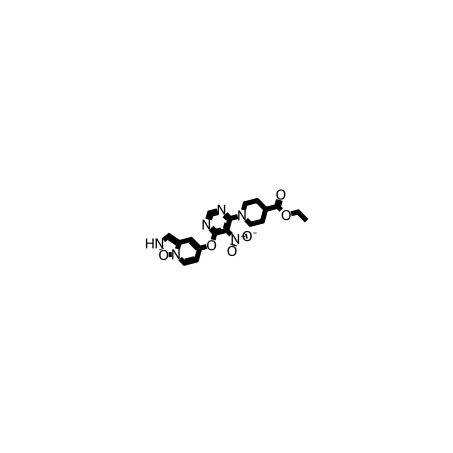 CCOC(=O)C1CCN(c2ncnc(OC3=CC4=CNON4C=C3)c2[N+](=O)[O-])CC1